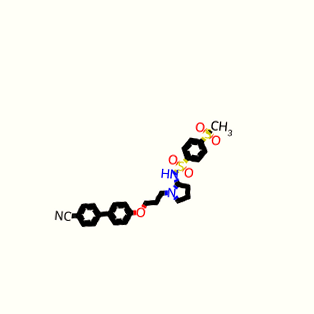 CS(=O)(=O)c1ccc(S(=O)(=O)NC2CCCN2CCCOc2ccc(-c3ccc(C#N)cc3)cc2)cc1